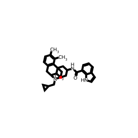 Cc1ccc2c(c1C)C13CCN(CC4CC4)C(C2)C1(C)CCC(NC(=O)c1cccc2cc[nH]c12)C3